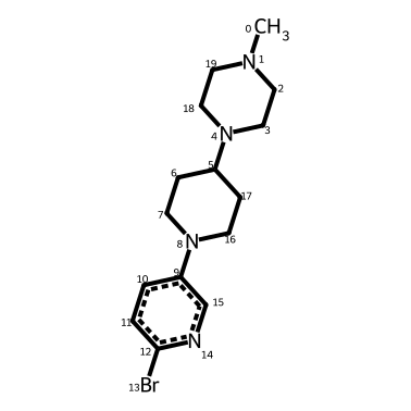 CN1CCN(C2CCN(c3ccc(Br)nc3)CC2)CC1